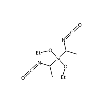 CCO[Si](OCC)(C(C)N=C=O)C(C)N=C=O